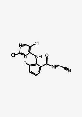 N#CCNC(=O)c1cccc(F)c1Nc1nc(Cl)ncc1Cl